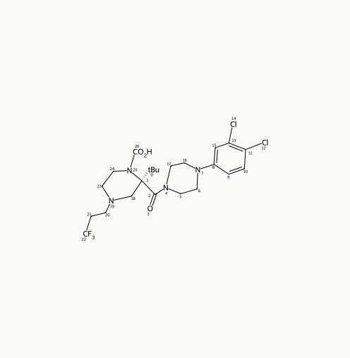 CC(C)(C)[C@]1(C(=O)N2CCN(c3ccc(Cl)c(Cl)c3)CC2)CN(CCC(F)(F)F)CCN1C(=O)O